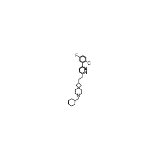 Fc1ccc(Cl)c(-c2ccc(CCC3CC4(CCN(CC5CCCCC5)CC4)C3)nn2)c1